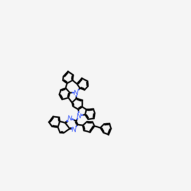 c1ccc(-c2ccc(-c3nc4ccc5ccccc5c4nc3-n3c4ccccc4c4cc5c(cc43)c3cccc4c3n5-c3ccccc3-c3ccccc3-4)cc2)cc1